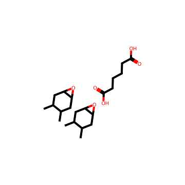 CC1CC2OC2CC1C.CC1CC2OC2CC1C.O=C(O)CCCCC(=O)O